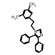 Cc1cc(C)cc(CCn2cnc(-c3ccccc3)c2-c2ccccc2)c1